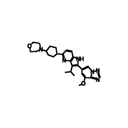 COc1cc(-c2[nH]c3ccc(C4CCC(N5CCOCC5)CC4)nc3c2C(C)C)cn2ncnc12